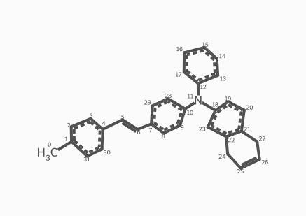 Cc1ccc(/C=C/c2ccc(N(c3ccccc3)c3ccc4c(c3)CC=CC4)cc2)cc1